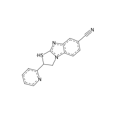 N#Cc1ccc2c(c1)nc1n2CC(c2ccccn2)[SH]1